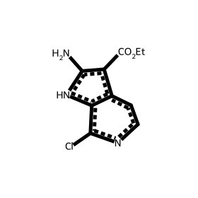 CCOC(=O)c1c(N)[nH]c2c(Cl)nccc12